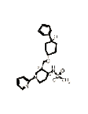 CS(=O)(=O)N[C@H]1CCN(c2ccccn2)C[C@H]1CO[C@H]1CC[C@@](O)(c2ccccc2)CC1